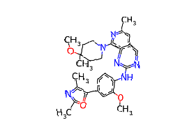 COc1cc(-c2oc(C)nc2C)ccc1Nc1ncc2cc(C)nc(N3CCC(C)(OC)CC3)c2n1